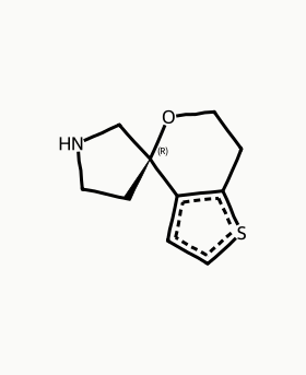 c1cc2c(s1)CCO[C@]21CCNC1